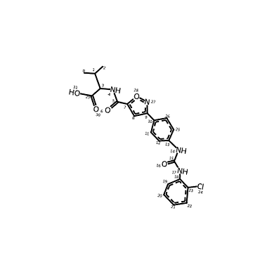 CC(C)C(NC(=O)c1cc(-c2ccc(NC(=O)Nc3ccccc3Cl)cc2)no1)C(=O)O